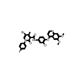 COc1cc2nccc(Oc3ccc(NC(=O)c4c(C)c(Br)cn(-c5ccc(F)cc5)c4=O)cc3Cl)c2cc1OC